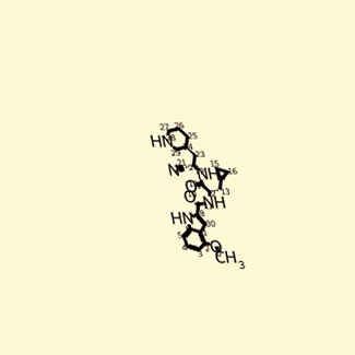 COc1cccc2[nH]c(C(=O)N[C@@H](CC3CC3)C(=O)N[C@H](C#N)C[C@@H]3CCCNC3)cc12